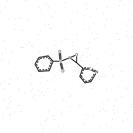 O=S(=O)(c1ccccc1)N1OC1c1cccnc1